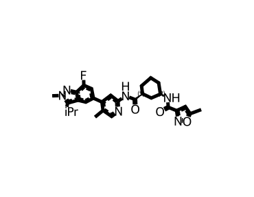 Cc1cc(C(=O)N[C@@H]2CCC[C@H](C(=O)Nc3cc(-c4cc(F)c5nn(C)c(C(C)C)c5c4)c(C)cn3)C2)no1